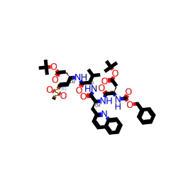 CC(C)[C@H](NC(=O)[C@H](Cc1ccc2ccccc2n1)NC(=O)[C@H](CC(=O)OC(C)(C)C)NC(=O)OCc1ccccc1)C(=O)N[C@H](/C=C/S(C)(=O)=O)CC(=O)OC(C)(C)C